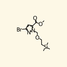 COC(=O)c1cc(Br)nn1COCC[Si](C)(C)C